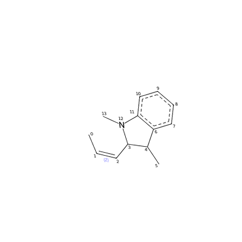 C/C=C\C1C(C)c2ccccc2N1C